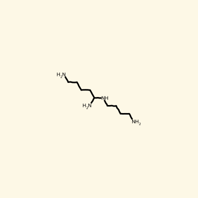 NCCCCNC(N)CCCCN